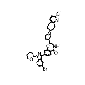 O=C1NCC(C2CCN(C3CCc4ccc(Cl)nc4CC3)C2)Oc2cc(-c3nn(C4CCCCO4)c4ncc(Br)cc34)ccc21